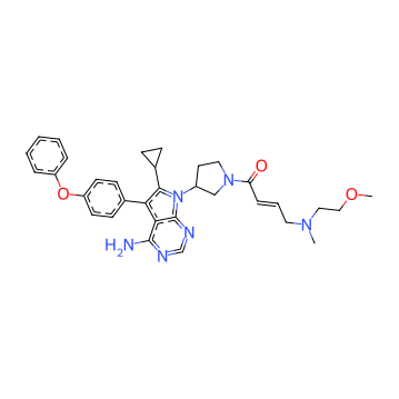 COCCN(C)CC=CC(=O)N1CCC(n2c(C3CC3)c(-c3ccc(Oc4ccccc4)cc3)c3c(N)ncnc32)C1